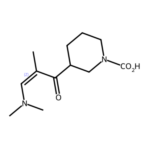 C/C(=C/N(C)C)C(=O)C1CCCN(C(=O)O)C1